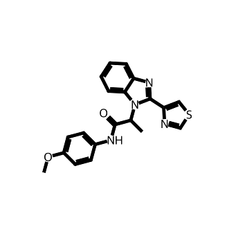 COc1ccc(NC(=O)C(C)n2c(-c3cscn3)nc3ccccc32)cc1